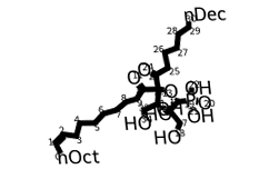 CCCCCCCC/C=C\CCCCCCCC(=O)C(O[C@H](C(O)CO)P(=O)(O)O)(C(=O)CCCCCCCCCCCCCCC)[C@@H](O)CO